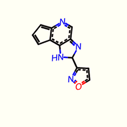 C1=Cc2c3c(cnc2=C1)=NC(c1ccon1)N3